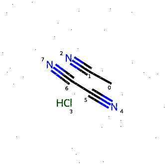 CC#N.Cl.N#CC#N